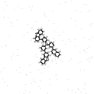 c1cc(-c2ccc3ccccc3c2)cc(N(c2cccc(-c3ccc4oc5ccccc5c4c3)c2)c2cccc(-c3cccc4sc5ccccc5c34)c2)c1